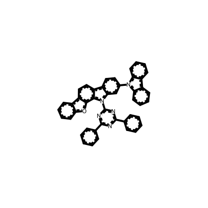 c1ccc(-c2nc(-c3ccccc3)nc(-n3c4cc(-n5c6ccccc6c6ccccc65)ccc4c4ccc5c6ccccc6oc5c43)n2)cc1